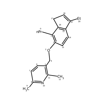 CCCc1c(OCc2ccc(C)nc2C)ccc2c1CC=C2CC